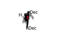 CCCCCCCCCCCCCCCCNCC(COCCCCCCCCCCCCCCCC)OP(=O)([O-])OCC[N+](C)(C)C